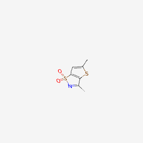 CC1=NS(=O)(=O)c2cc(C)sc21